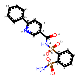 NS(=O)(=O)c1ccccc1S(=O)(=O)NC(=O)c1ccc(-c2ccccc2)nc1